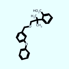 CC(C)(COCc1cccc(Oc2ccccc2)c1)c1ccccc1C(=O)O